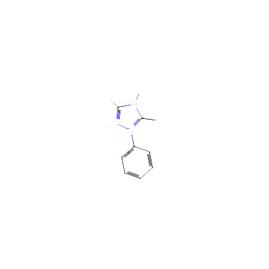 Cc1n(C)c(S)n[n+]1-c1ccccc1